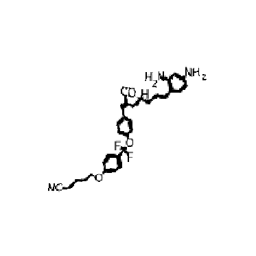 N#CCCCCOc1ccc(C(F)(F)Oc2ccc(C=C(CCCCCc3ccc(N)cc3N)C(=O)O)cc2)cc1